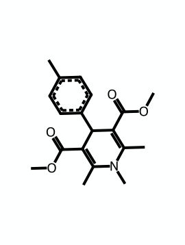 COC(=O)C1=C(C)N(C)C(C)=C(C(=O)OC)C1c1ccc(C)cc1